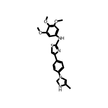 COc1cc(Nc2nc(-c3ccc(N4C=C(C)NC4)cc3)cs2)cc(OC)c1OC